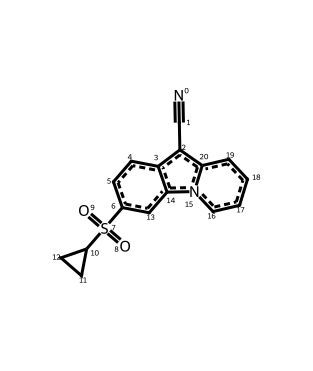 N#Cc1c2ccc(S(=O)(=O)C3CC3)cc2n2ccccc12